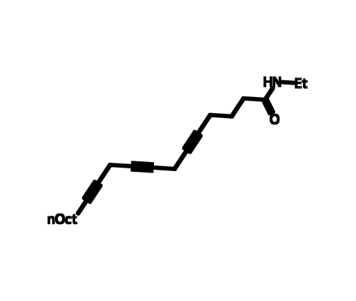 CCCCCCCCC#CCC#CCC#CCCCC(=O)NCC